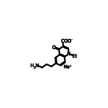 CCn1cc(C(=O)[O-])c(=O)c2cc(CCCN)ccc21.[Na+]